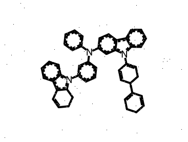 C1=CC(C2C=CC(n3c4ccccc4c4ccc(N(c5ccccc5)c5cccc(-n6c7c(c8ccccc86)C=CCC7)c5)cc43)=CC2)=CCC1